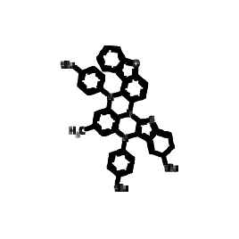 Cc1cc2c3c(c1)N(c1ccc(C(C)(C)C)cc1)c1c(ccc4oc5ccccc5c14)B3c1sc3c(c1N2c1ccc(C(C)(C)C)cc1)=CC(C(C)(C)C)CC=3